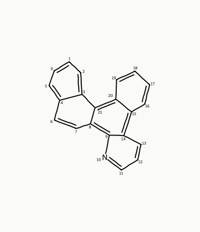 c1ccc2c(c1)ccc1c3ncccc3c3ccccc3c21